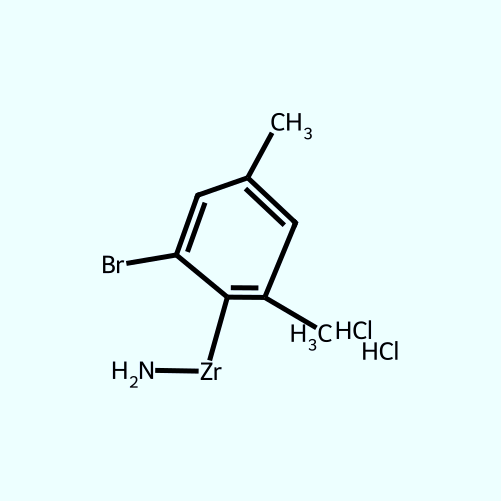 Cc1cc(C)[c]([Zr][NH2])c(Br)c1.Cl.Cl